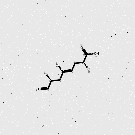 O=C[C@@H](Cl)CC(Cl)=CC[C@H](Cl)C(=O)O